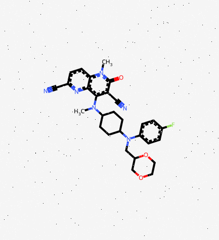 CN(c1c(C#N)c(=O)n(C)c2ccc(C#N)nc12)C1CCC(N(CC2COCCO2)c2ccc(F)cc2)CC1